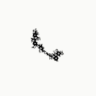 COc1cc2nc(C)nc(N[C@H](C)c3cccc(C(F)(F)F)c3F)c2cc1OCC1(CN(C)C(=O)CCOCCOCCNc2ccccc2C(=O)N(C)C2CCC(=O)NC2=O)CC1